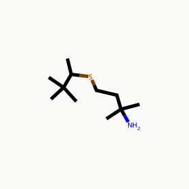 CC(SCCC(C)(C)N)C(C)(C)C